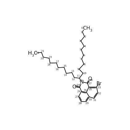 CCCCCCCCCCCC(CCCCCCCCCCC)N1C(=O)c2cccc3ccc(Br)c(c23)C1=O